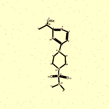 CO[C@H](C)c1nccc(N2CCN(S(=O)(=O)N(C)C)CC2)n1